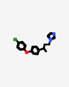 CC(CCn1ccnc1)c1ccc(Oc2ccc(Cl)cc2)cc1